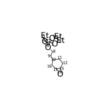 CCO[Si](OCC)(OCC)OCCC1CCC2OC2C1